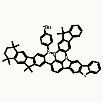 CC(C)(C)c1ccc(N2B3c4cc5c(cc4-n4c6cc7c(cc6c6ccc(c3c64)-c3cc4c(cc32)-c2cc3c(cc2C4(C)C)C(C)(C)CCC3(C)C)sc2ccccc27)-c2ccccc2C5(C)C)cc1